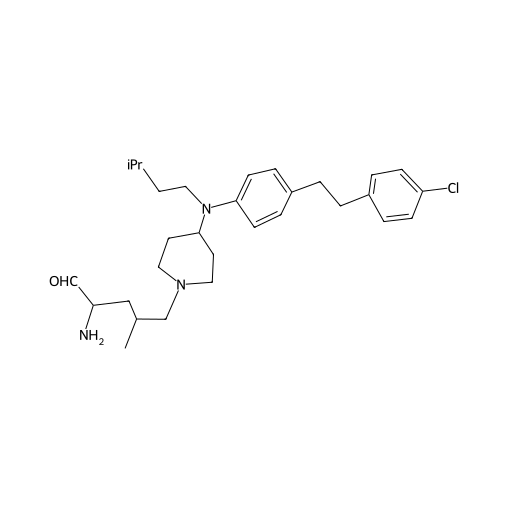 CC(C)CCN(c1ccc(CCc2ccc(Cl)cc2)cc1)C1CCN(CC(C)CC(N)C=O)CC1